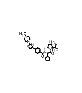 CN1CCN(c2nc(-c3ccc(C(=O)N[C@H](C(=O)N4CC[C@H]5OCC(=O)[C@H]54)C4CCCC4)cc3)cs2)CC1